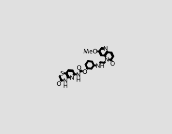 COc1cnc2ccc(=O)n(CCNC3CCCC(OC(=O)Nc4ccc5c(n4)NC(=O)CS5)C3)c2c1